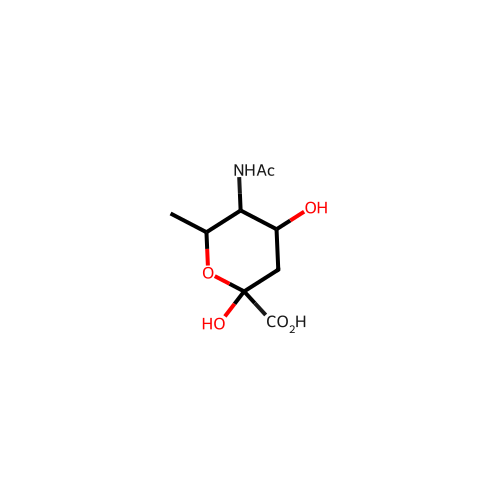 CC(=O)NC1C(O)CC(O)(C(=O)O)OC1C